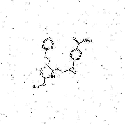 COC(=O)c1ccc(C2OC2CC[C@@H](NC(=O)OC(C)(C)C)[C@H](C)COc2ccccc2)cc1